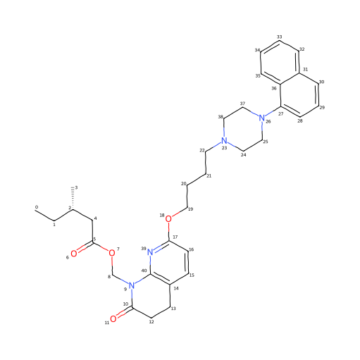 CC[C@H](C)CC(=O)OCN1C(=O)CCc2ccc(OCCCCN3CCN(c4cccc5ccccc45)CC3)nc21